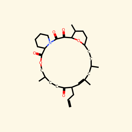 C=CCC1/C=C(/C)CC(C)CCC2CCC(C)C(O2)C(=O)C(=O)N2CCCCC2C(=O)OCC(C)CCC1=O